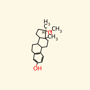 CO[C@]1(C)CCC2C3CCc4cc(O)ccc4C3CCC21C